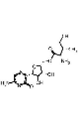 CC[C@H](C)[C@H](N)C(=O)OC[C@H]1O[C@@H](n2ncc(N)nc2=O)C(O)[C@H]1O